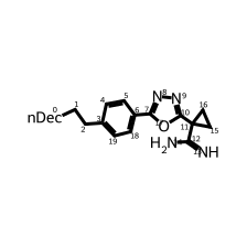 CCCCCCCCCCCCc1ccc(-c2nnc(C3(C(=N)N)CC3)o2)cc1